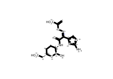 C=C(O/N=C(\C(=O)N[C@H]1CC[C@@H](CC(=O)O)OB1O)c1csc(N)n1)C(=O)O